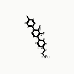 Cc1ccc(-c2ccc(-c3ccc(CCC(C)(C)C)cc3)c(F)c2F)cc1